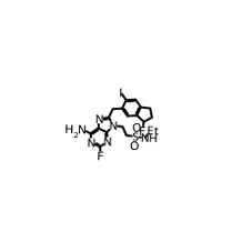 CCNS(=O)(=O)CCn1c(Cc2cc3c(cc2I)CCC3F)nc2c(N)nc(F)nc21